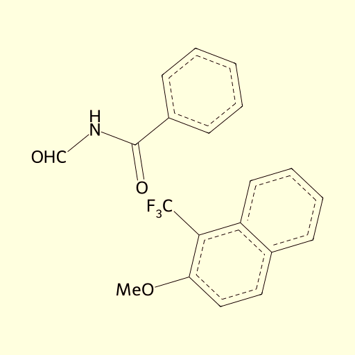 COc1ccc2ccccc2c1C(F)(F)F.O=CNC(=O)c1ccccc1